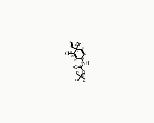 C=CC1(Br)C=CC(NC(=O)OC(C)(C)C)C=C1Cl